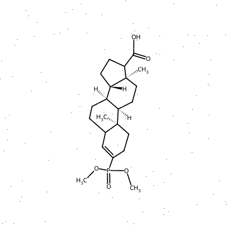 COP(=O)(OC)C1=CC2CC[C@@H]3[C@@H](CC[C@]4(C)C(C(=O)O)CC[C@@H]34)[C@@]2(C)CC1